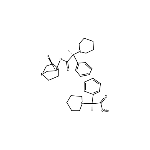 COC(=O)[C@](C)(c1ccccc1)N1CCCCC1.C[C@@](C(=O)O[C@H]1CN2CCC1CC2)(c1ccccc1)N1CCCCC1